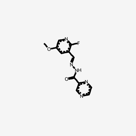 COc1cnc(F)c(C=NNC(=O)c2cnccn2)c1